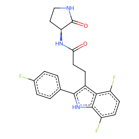 O=C(CCc1c(-c2ccc(F)cc2)[nH]c2c(F)ccc(F)c12)N[C@H]1CCNC1=O